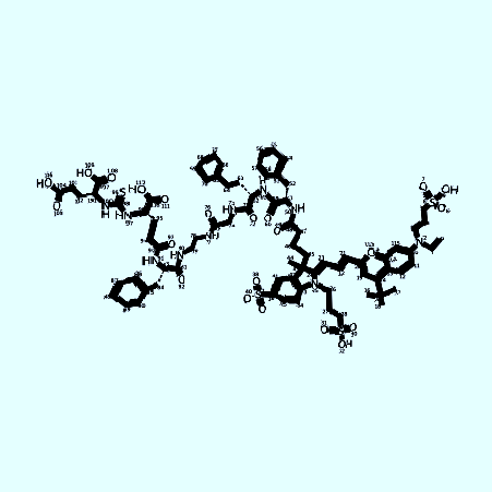 CCN(CCCS(=O)(=O)O)c1ccc2c(C(C)(C)C)cc(/C=C/C=C3\N(CCCS(=O)(=O)O)c4ccc(S(=O)(=O)[O-])cc4C3(C)CCCC(=O)N[C@@H](Cc3ccccc3)C(=O)N[C@@H](CCc3ccccc3)C(=O)NCC(=O)NCCNC(=O)[C@H](Cc3ccccc3)NC(=O)CC[C@H](NC(=S)N[C@@H](CCC(=O)O)C(=O)O)C(=O)O)[o+]c2c1